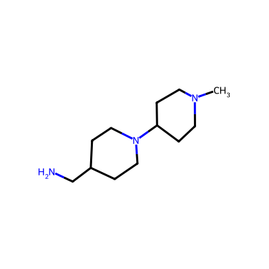 CN1CCC(N2CCC(CN)CC2)CC1